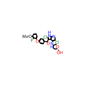 COc1cccc(Oc2ccc(C(=O)c3c[nH]c4ncc(Cl)c(N[C@@H]5CC[C@@H](CO)OC5)c34)c(Cl)c2)c1F